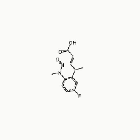 CC(/C=C/C(=O)O)c1cc(F)ccc1N(C)N=O